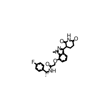 C[C@@H](NC(=O)COc1cccc2c(C3CCC(=O)NC3=O)nn(C)c12)c1ccc(F)cc1